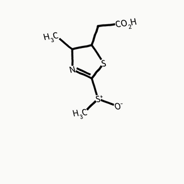 CC1N=C([S+](C)[O-])SC1CC(=O)O